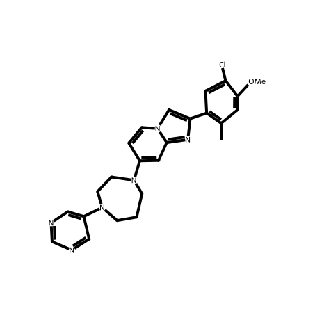 COc1cc(C)c(-c2cn3ccc(N4CCCN(c5cncnc5)CC4)cc3n2)cc1Cl